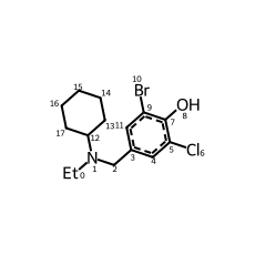 CCN(Cc1cc(Cl)c(O)c(Br)c1)C1CCCCC1